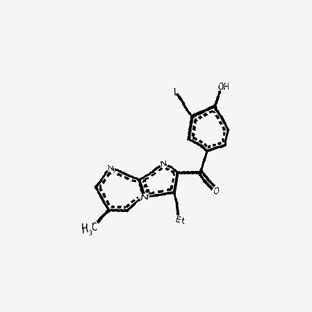 CCc1c(C(=O)c2ccc(O)c(I)c2)nc2ncc(C)cn12